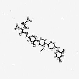 CC[C@H]1CN(c2ncc(CNC(=O)N(C(=O)NC3CC3)C3CC3)cc2Cl)CCN1C1CCN(Cc2ccc(Br)cc2F)CC1